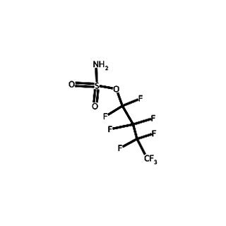 NS(=O)(=O)OC(F)(F)C(F)(F)C(F)(F)C(F)(F)F